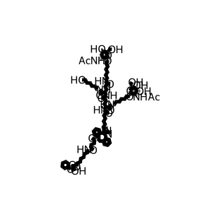 CC(=O)N[C@H]1[C@H](OCCCCCCNC(=O)C(CCC(=O)NC(CCC(=O)NCCCCCCO[C@@H]2O[C@H](CO)[C@H](O)C[C@H]2NC(C)=O)C(=O)NCCCCCCO)NC(=O)CCCCCn2nnc3c2-c2ccccc2N(C(=O)CCC(=O)NCCCCCCOP(=O)(O)OC2CCCCC2)Cc2ccccc2-3)O[C@H](CO)[C@H](O)[C@@H]1O